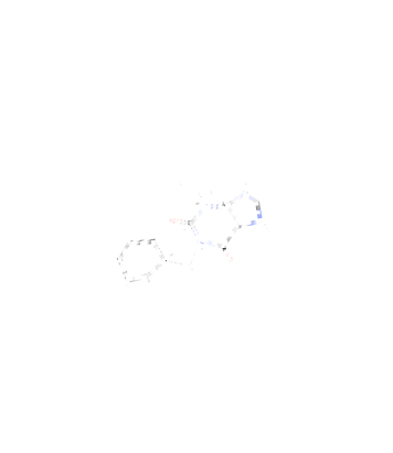 Cn1cnc2c1c(=O)n(Cc1ccccc1)c(=O)n2C.I